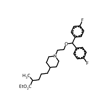 CCOC(=O)C(C)CCCC1CCN(CCOC(c2ccc(F)cc2)c2ccc(F)cc2)CC1